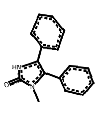 Cn1c(-c2ccccc2)c(-c2ccccc2)[nH]c1=O